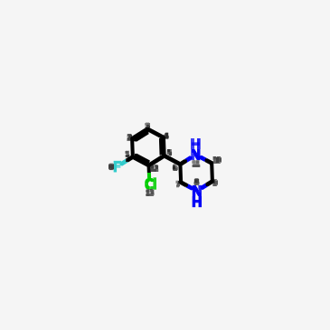 Fc1cccc(C2CNCCN2)c1Cl